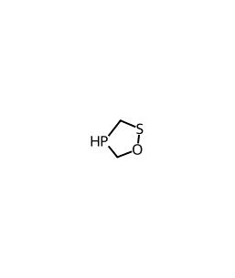 C1OSCP1